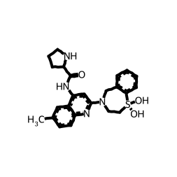 Cc1ccc2nc(N3CCS(O)(O)c4ccccc4C3)cc(NC(=O)C3CCCN3)c2c1